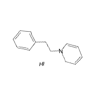 C1=CCN(CCc2ccccc2)C=C1.I